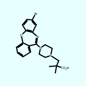 CC(C)(CN1CCN(C2=Nc3cc(Br)ccc3Oc3ccccc32)CC1)C(=O)O